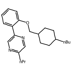 CCCCC1CCC(COc2ccccc2-c2cnc(CCC)cn2)CC1